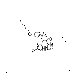 CCCCCOc1ccc(C2(C)CC(c3ccc(C4CC4)s3)=C(c3nnc[nH]3)C(=O)N2)cc1